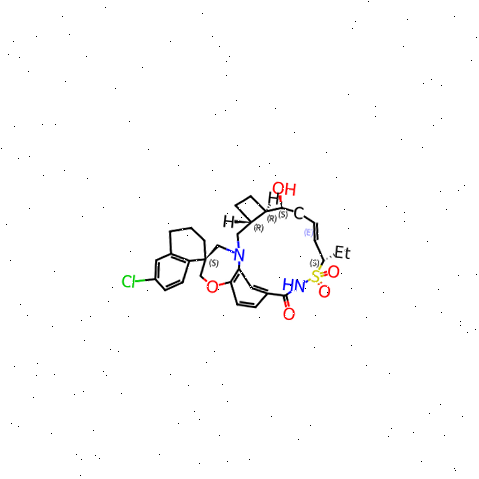 CC[C@H]1/C=C/C[C@H](O)[C@@H]2CC[C@H]2CN2C[C@@]3(CCCc4cc(Cl)ccc43)COc3ccc(cc32)C(=O)NS1(=O)=O